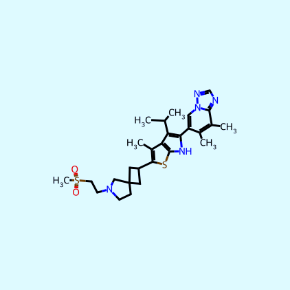 Cc1c(-c2[nH]c3sc(C4CC5(CCN(CCS(C)(=O)=O)C5)C4)c(C)c3c2C(C)C)cn2ncnc2c1C